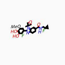 COc1cc(-c2nc3ccc(C(=O)NCC4(F)CC4)cc3n2C2(C)COC2)c(F)c(O)c1O